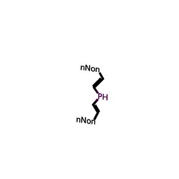 CCCCCCCCCC=CPC=CCCCCCCCCC